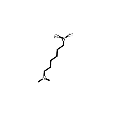 CCN(CC)CCCCCCN(C)C